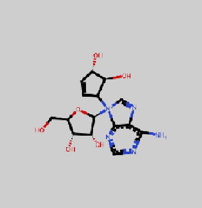 Nc1ncnc2c1N=C[N+]2(C1C=C[C@H](O)[C@H]1O)[C@@H]1O[C@H](CO)[C@@H](O)[C@H]1O